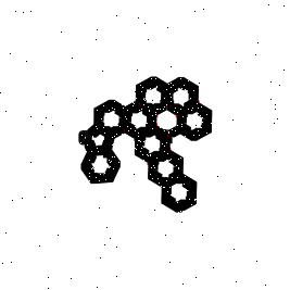 c1ccc(-c2ccccc2N(c2ccc3ccccc3c2)c2ccccc2-c2cccc3c4ccc5oc6ccccc6c5c4c4ccccc4c23)cc1